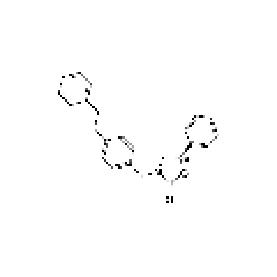 O=C1O[C@H](c2ccccc2)CN1Cc1ccc(CCc2ccccc2)cc1